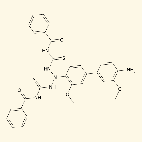 COc1cc(-c2ccc(N(NC(=S)NC(=O)c3ccccc3)NC(=S)NC(=O)c3ccccc3)c(OC)c2)ccc1N